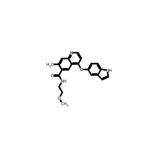 COCCNC(=O)c1cc2c(Oc3ccc4[nH]ccc4c3)ccnc2cc1C